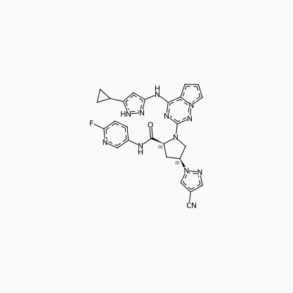 N#Cc1cnn([C@H]2C[C@@H](C(=O)Nc3ccc(F)nc3)N(c3nc(Nc4cc(C5CC5)[nH]n4)c4cccn4n3)C2)c1